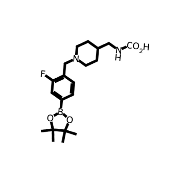 CC1(C)OB(c2ccc(CN3CCC(CNC(=O)O)CC3)c(F)c2)OC1(C)C